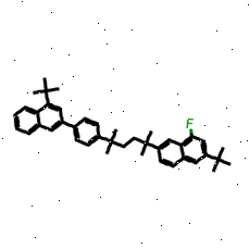 CC(C)(C)c1cc(F)c2cc(C(C)(C)CCC(C)(C)c3ccc(-c4cc(C(C)(C)C)c5ccccc5c4)cc3)ccc2c1